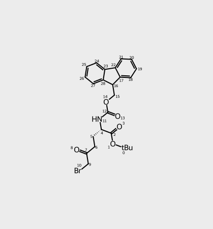 CC(C)(C)OC(=O)[C@H](CCC(=O)CBr)NC(=O)OCC1c2ccccc2-c2ccccc21